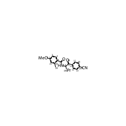 COc1ccc(C(=O)NC(C(=O)c2ccc(C#N)cc2)C(C)C)c(C)c1